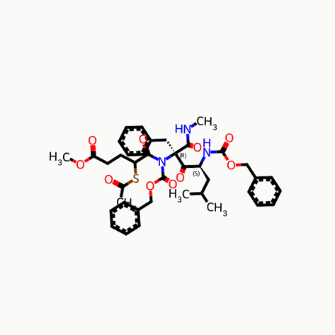 CNC(=O)[C@@](Cc1ccccc1)(C(=O)[C@H](CC(C)C)NC(=O)OCc1ccccc1)N(C(=O)OCc1ccccc1)C(=O)C(CCC(=O)OC)SC(C)=O